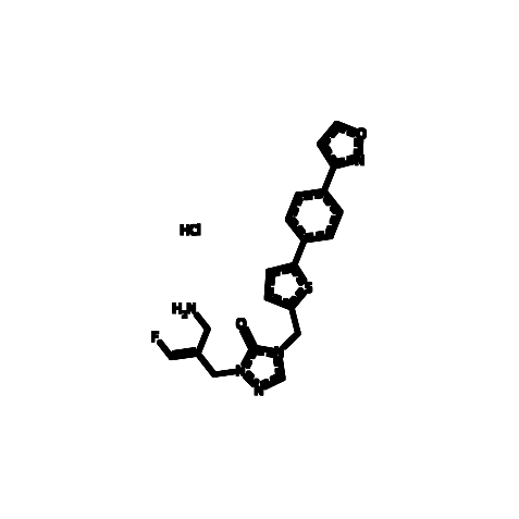 Cl.NC/C(=C\F)Cn1ncn(Cc2ccc(-c3ccc(-c4ccon4)cc3)s2)c1=O